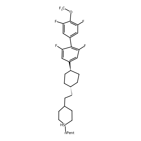 CCCCC[SiH]1CCC(CC[C@H]2CC[C@H](c3cc(F)c(-c4cc(F)c(OC(F)(F)F)c(F)c4)c(F)c3)CC2)CC1